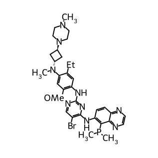 CCc1cc(Nc2ncc(Br)c(Nc3ccc4nccnc4c3P(C)C)n2)c(OC)cc1N(C)[C@H]1C[C@H](N2CCN(C)CC2)C1